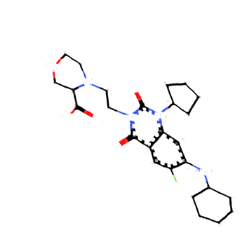 O=C(O)C1COCCN1CCn1c(=O)c2cc(F)c(NC3CCCCC3)cc2n(C2CCCC2)c1=O